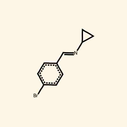 Brc1ccc(C=NC2CC2)cc1